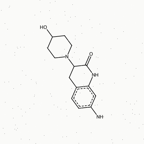 [NH]c1ccc2c(c1)NC(=O)C(N1CCC(O)CC1)C2